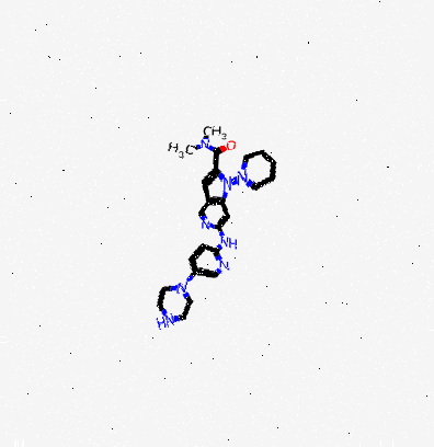 CN(C)C(=O)c1cc2cnc(Nc3ccc(N4CCNCC4)cn3)cc2n1N1CCCCC1